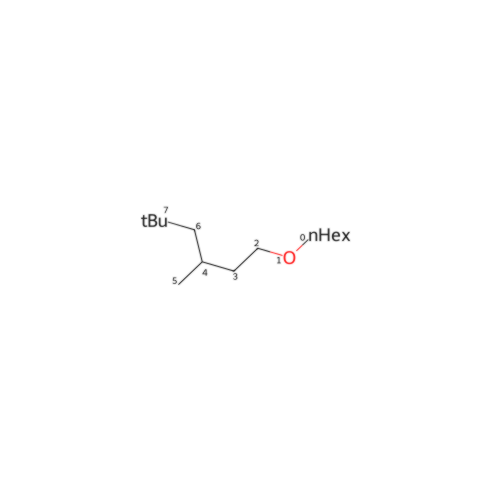 [CH2]CCCCCOCCC(C)CC(C)(C)C